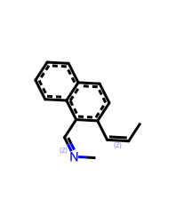 C/C=C\c1ccc2ccccc2c1/C=N\C